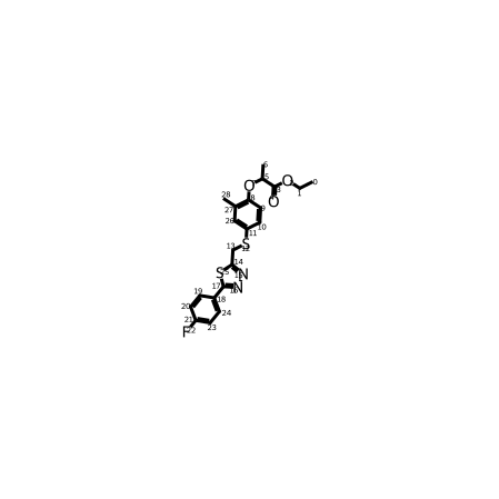 CCOC(=O)C(C)Oc1ccc(SCc2nnc(-c3ccc(F)cc3)s2)cc1C